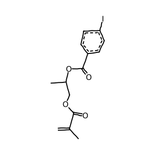 C=C(C)C(=O)OCC(C)OC(=O)c1ccc(I)cc1